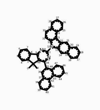 CC1(C)c2ccccc2-c2nc(-n3c4cc5ccccc5cc4c4c5ccccc5ccc43)nc(-c3cc4ccccc4c4ccccc34)c21